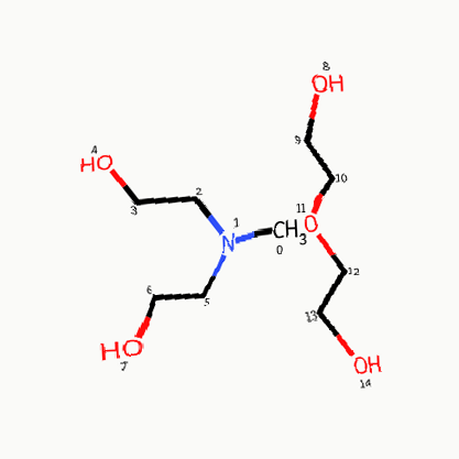 CN(CCO)CCO.OCCOCCO